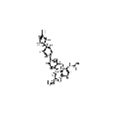 CC(C)Cc1ccc(OC(N)=O)cc1Cc1nn(-c2ccc(-c3cn[nH]c3)cc2)ccc1=O